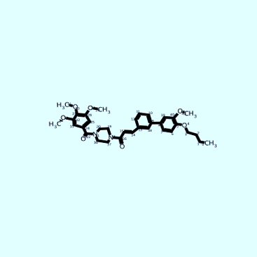 CCCCOc1ccc(-c2cccc(C=CC(=O)N3CCN(C(=O)c4cc(OC)c(OC)c(OC)c4)CC3)c2)cc1OC